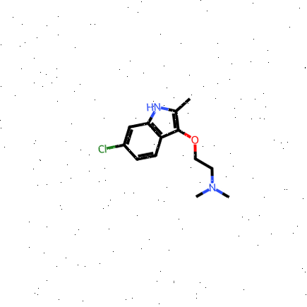 Cc1[nH]c2cc(Cl)ccc2c1OCCN(C)C